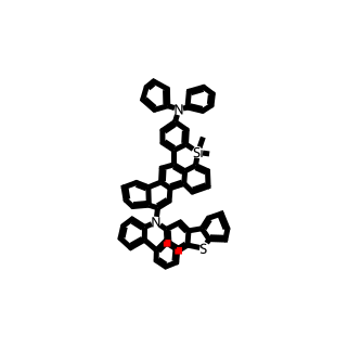 C[Si]1(C)c2cc(N(c3ccccc3)c3ccccc3)ccc2-c2cc3c4ccccc4c(N(c4ccc5sc6ccccc6c5c4)c4ccccc4-c4ccccc4)cc3c3cccc1c23